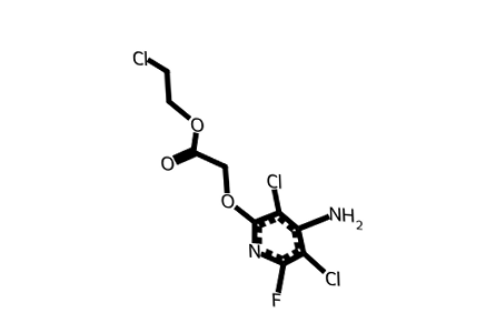 Nc1c(Cl)c(F)nc(OCC(=O)OCCCl)c1Cl